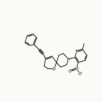 Cc1ccc([N+](=O)[O-])c(N2CCC3(C=C(C#Cc4ccccc4)CCO3)CC2)n1